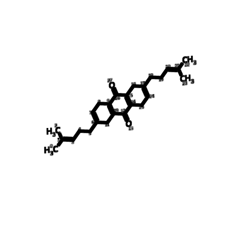 CC(C)=CCCC1=CCC2=C(C1)C(=O)C1=C(CC(CCC=C(C)C)=CC1)C2=O